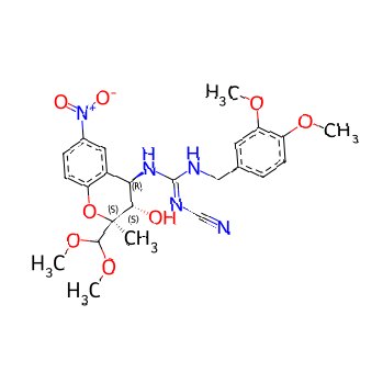 COc1ccc(CNC(=NC#N)N[C@@H]2c3cc([N+](=O)[O-])ccc3O[C@](C)(C(OC)OC)[C@H]2O)cc1OC